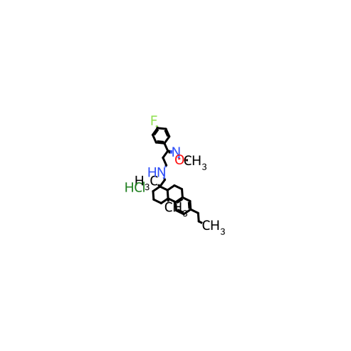 CCCc1ccc2c(c1)CCC1C(C)(CNCCC(=NOC)c3ccc(F)cc3)CCCC21C.Cl